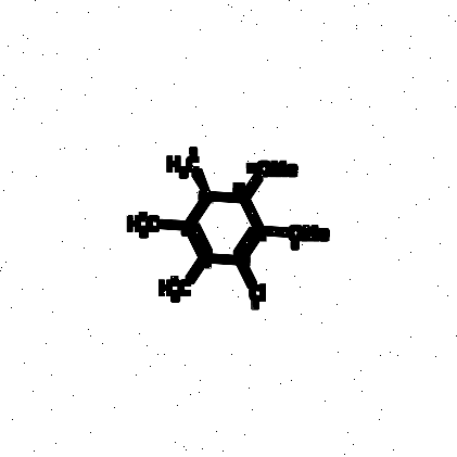 COC1=C(Cl)C(C)=C(C)[C@@H](C)C1OC